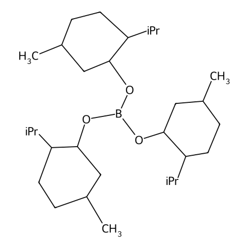 CC1CCC(C(C)C)C(OB(OC2CC(C)CCC2C(C)C)OC2CC(C)CCC2C(C)C)C1